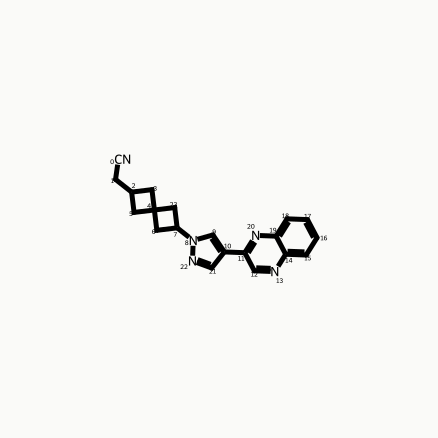 N#CCC1CC2(C1)CC(n1cc(-c3cnc4ccccc4n3)cn1)C2